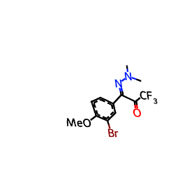 COc1ccc(C(=NN(C)C)C(=O)C(F)(F)F)cc1Br